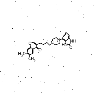 Cc1cc2occ(CCCCN3CCN(c4cccc5[nH]c(=O)[nH]c45)CC3)c(=O)c2cc1C